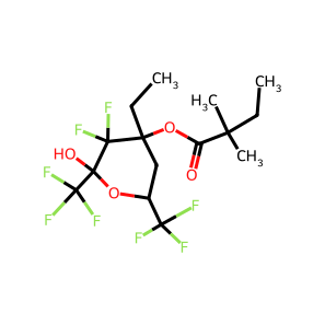 CCC(C)(C)C(=O)OC1(CC)CC(C(F)(F)F)OC(O)(C(F)(F)F)C1(F)F